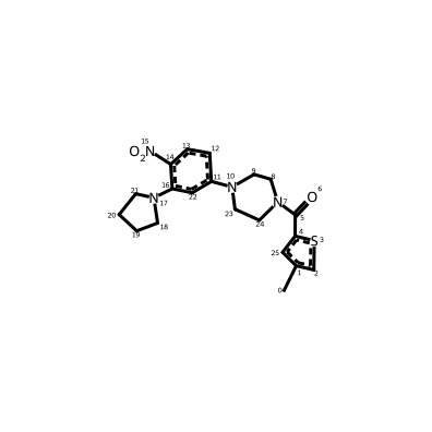 Cc1csc(C(=O)N2CCN(c3ccc([N+](=O)[O-])c(N4CCCC4)c3)CC2)c1